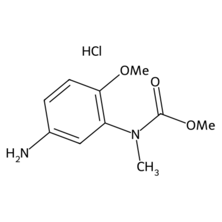 COC(=O)N(C)c1cc(N)ccc1OC.Cl